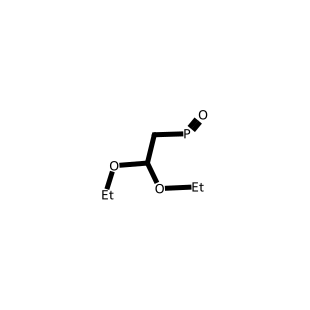 CCOC(CP=O)OCC